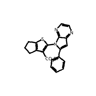 CCOC(=O)c1c(-n2c(-c3ccccc3)cc3nccnc32)sc2c1CCC2